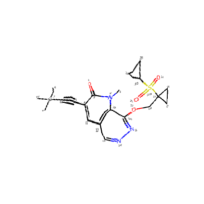 Cn1c(=O)c(C#C[Si](C)(C)C)cc2cnnc(OCC3(S(=O)(=O)C4CC4)CC3)c21